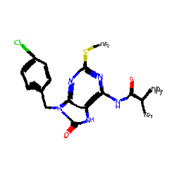 CCCSc1nc(NC(=O)C(CCC)CCC)c2[nH]c(=O)n(Cc3ccc(Cl)cc3)c2n1